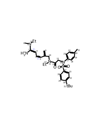 C=C(/C=C\C=C(/N)N(C)CC)CN(CC)C(=O)CN(c1ccc(C)cc1)S(=O)(=O)c1ccc(C(C)(C)C)cc1